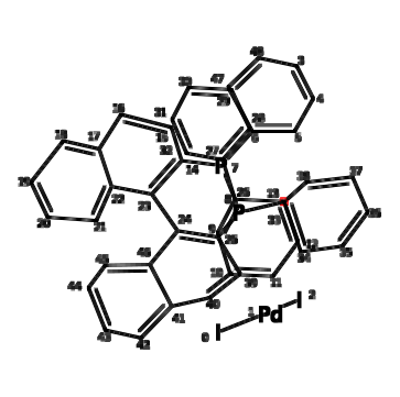 [I][Pd][I].c1ccc(P(c2ccccc2)c2ccc3ccccc3c2-c2c(P(c3ccccc3)c3ccccc3)ccc3ccccc23)cc1